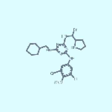 CCC(Nc1nc(NCC2CCCCC2)nc(Nc2cc(Cl)c(OC)c(Cl)c2)n1)C1CCCN1